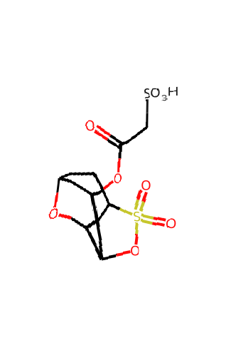 O=C(CS(=O)(=O)O)OC1C2CC3C(O2)C1OS3(=O)=O